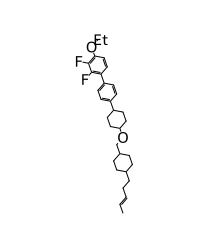 C/C=C/CCC1CCC(COC2CCC(c3ccc(-c4ccc(OCC)c(F)c4F)cc3)CC2)CC1